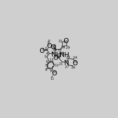 COC(=O)C(Cc1ccc(OC)cc1)NC(=O)[C@@H](NC(=O)CN1CCOCC1)C1COC1